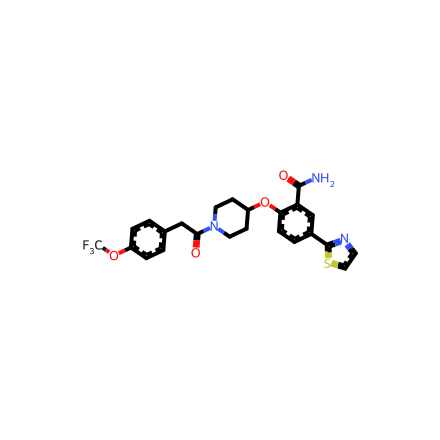 NC(=O)c1cc(-c2nccs2)ccc1OC1CCN(C(=O)Cc2ccc(OC(F)(F)F)cc2)CC1